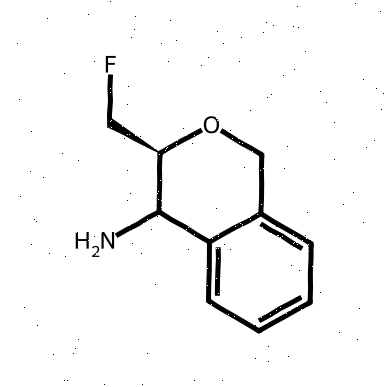 NC1c2ccccc2CO[C@@H]1CF